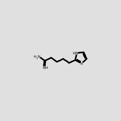 N=C(N)CCCCc1ncc[nH]1